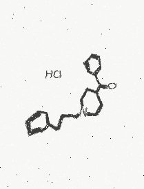 Cl.O=C(c1ccccc1)C1CCN(CCCc2ccccc2)CC1